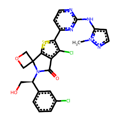 Cn1nccc1Nc1nccc(-c2sc3c(c2Cl)C(=O)N([C@H](CO)c2cccc(Cl)c2)C32COC2)n1